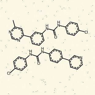 Cc1cc(-c2cccc(NC(=O)Nc3ccc(Cl)cc3)c2)ncn1.O=C(Nc1ccc(Cl)cc1)Nc1ccc(-c2cccnc2)cc1